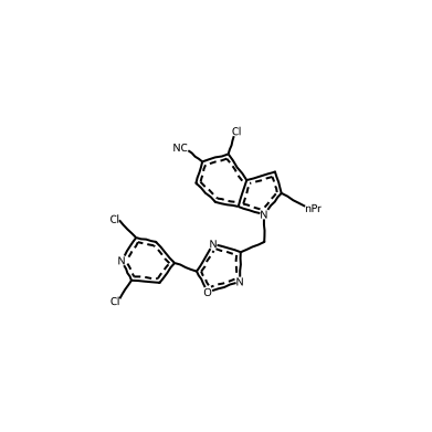 CCCc1cc2c(Cl)c(C#N)ccc2n1Cc1noc(-c2cc(Cl)nc(Cl)c2)n1